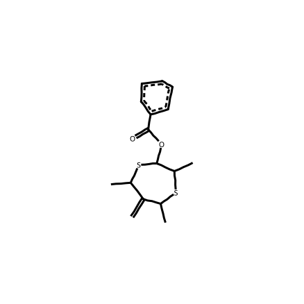 C=C1C(C)SC(C)C(OC(=O)c2ccccc2)SC1C